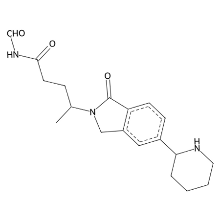 CC(CCC(=O)NC=O)N1Cc2cc(C3CCCCN3)ccc2C1=O